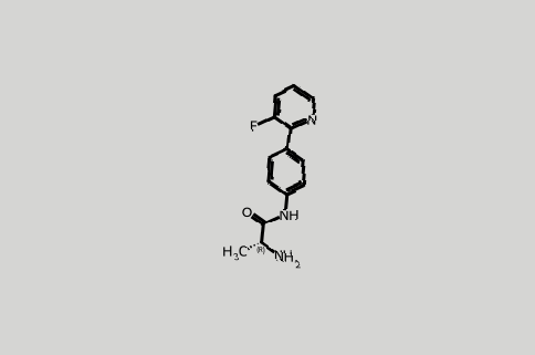 C[C@@H](N)C(=O)Nc1ccc(-c2ncccc2F)cc1